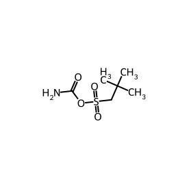 CC(C)(C)CS(=O)(=O)OC(N)=O